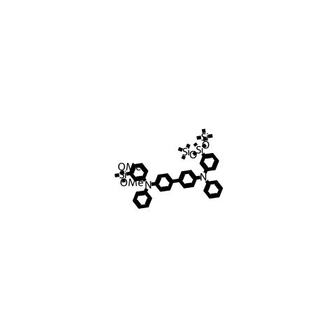 CO[Si](C)(OC)c1cccc(N(c2ccccc2)c2ccc(-c3ccc(N(c4ccccc4)c4cccc([Si](C)(O[Si](C)(C)C)O[Si](C)(C)C)c4)cc3)cc2)c1